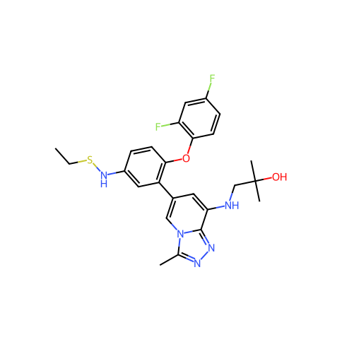 CCSNc1ccc(Oc2ccc(F)cc2F)c(-c2cc(NCC(C)(C)O)c3nnc(C)n3c2)c1